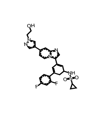 O=S(=O)(NC1C=C(c2cnc3cc(-c4cnn(CCO)c4)ccn23)C=C(c2ccc(F)cc2F)C1)C1CC1